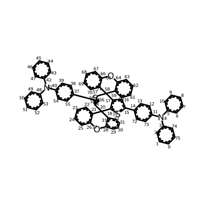 c1ccc(N(c2ccccc2)c2ccc(-c3cc4c(s3)C3(c5ccccc5Oc5ccccc53)c3cc(-c5ccc(N(c6ccccc6)c6ccccc6)cc5)sc3C43c4ccccc4Oc4ccccc43)cc2)cc1